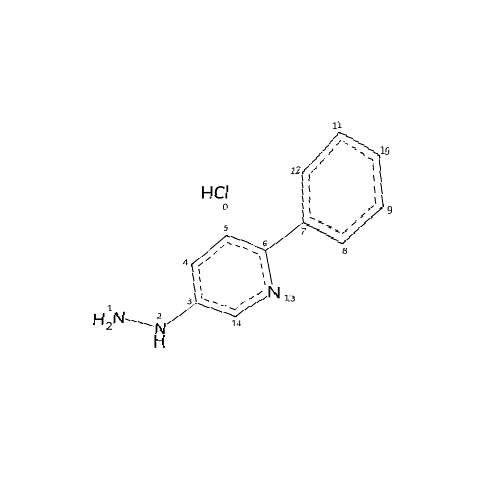 Cl.NNc1ccc(-c2ccccc2)nc1